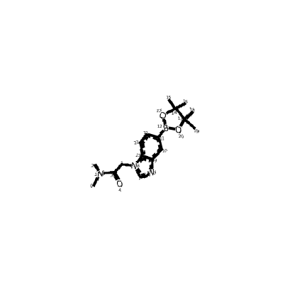 CN(C)C(=O)Cn1cnc2cc(B3OC(C)(C)C(C)(C)O3)ccc21